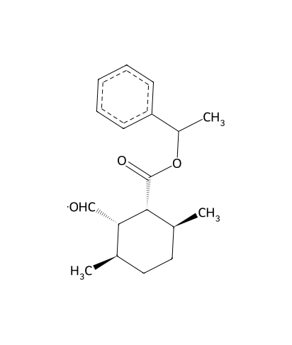 CC(OC(=O)[C@H]1[C@@H]([C]=O)[C@H](C)CC[C@@H]1C)c1ccccc1